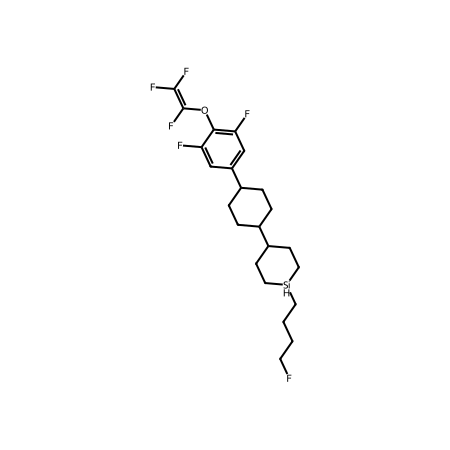 FCCCC[SiH]1CCC(C2CCC(c3cc(F)c(OC(F)=C(F)F)c(F)c3)CC2)CC1